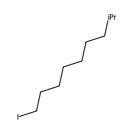 CC(C)CCCCCCCI